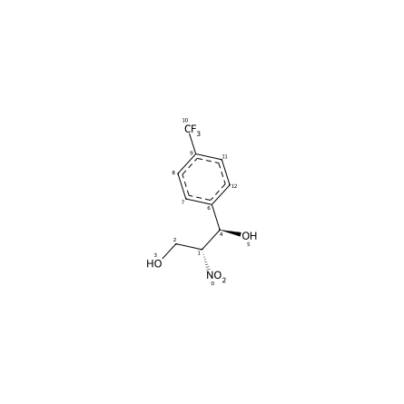 O=[N+]([O-])[C@H](CO)[C@H](O)c1ccc(C(F)(F)F)cc1